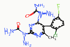 Cc1nc(N(N)C(N)=O)nc(N(N)C(N)=O)c1-c1cc(F)ccc1Cl